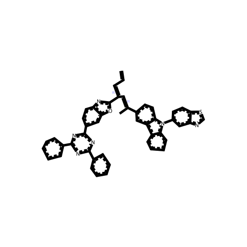 C=C/C=C(\C=C(/C)c1ccc2c(c1)c1ccccc1n2-c1ccc2scnc2c1)c1nc2ccc(-c3nc(-c4ccccc4)nc(-c4ccccc4)n3)cc2o1